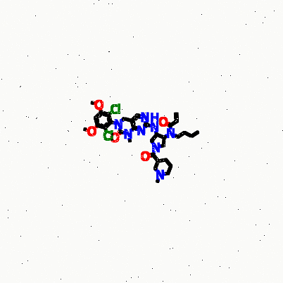 C=CC(=O)N(CCCC)C1CN(C(=O)C2CCCN(C)C2)CC1Nc1ncc2c(n1)N(C)C(=O)N(c1c(Cl)c(OC)cc(OC)c1Cl)C2